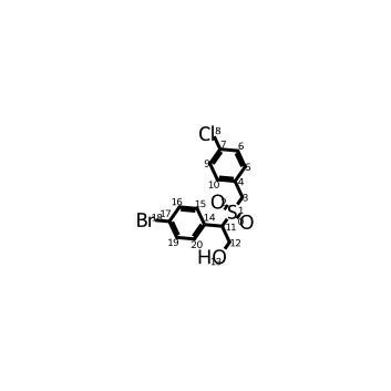 O=S(=O)(Cc1ccc(Cl)cc1)C(CO)c1ccc(Br)cc1